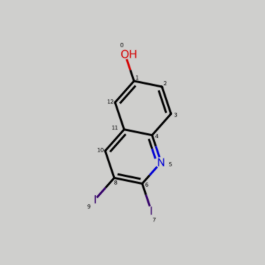 Oc1ccc2nc(I)c(I)cc2c1